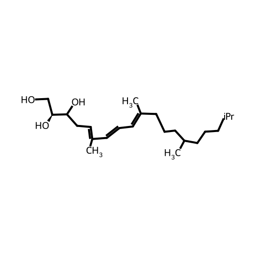 CC(C=CC=C(C)CCCC(C)CCCC(C)C)=CCC(O)[C@@H](O)CO